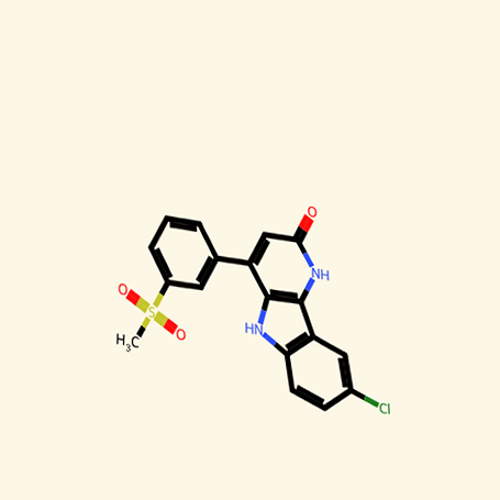 CS(=O)(=O)c1cccc(-c2cc(=O)[nH]c3c2[nH]c2ccc(Cl)cc23)c1